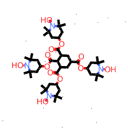 CC1(C)CC(OC(=O)C2CC(C(=O)OC3CC(C)(C)N(O)C(C)(C)C3)C(C(=O)OC3CC(C)(C)N(O)C(C)(C)C3)C(C(=O)OC3CC(C)(C)N(O)C(C)(C)C3)C2)CC(C)(C)N1O